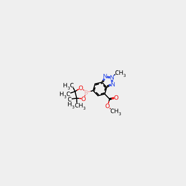 COC(=O)c1cc(B2OC(C)(C)C(C)(C)O2)cc2nn(C)nc12